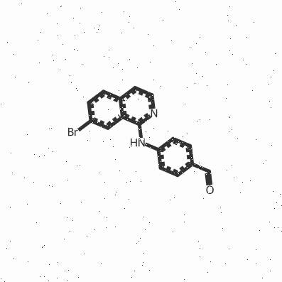 O=Cc1ccc(Nc2nccc3ccc(Br)cc23)cc1